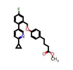 COC(=O)CCCc1ccc(OCc2cc(F)ccc2-c2ccc(C3CC3)nc2)cc1